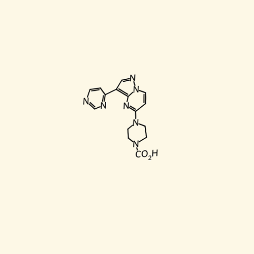 O=C(O)N1CCN(c2ccn3ncc(-c4ccncn4)c3n2)CC1